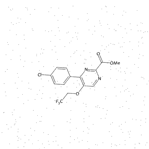 COC(=O)c1ncc(OCC(F)(F)F)c(-c2ccc(Cl)cc2)n1